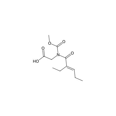 CC/C=C(\CC)C(=O)N(CC(=O)O)C(=O)OC